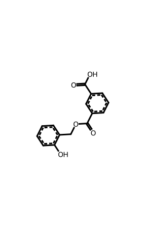 O=C(O)c1cccc(C(=O)OCc2ccccc2O)c1